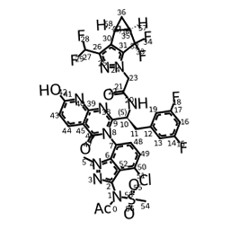 CC(=O)N(c1nn(C)c2c(-n3c([C@H](Cc4cc(F)cc(F)c4)NC(=O)Cn4nc(C(F)F)c5c4C(F)(F)[C@@H]4C[C@H]54)nc4nc(O)ccc4c3=O)ccc(Cl)c12)S(C)(=O)=O